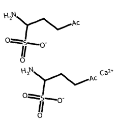 CC(=O)CCC(N)S(=O)(=O)[O-].CC(=O)CCC(N)S(=O)(=O)[O-].[Ca+2]